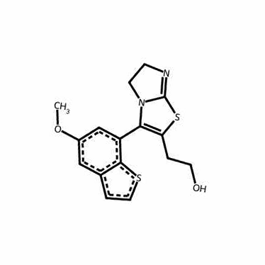 COc1cc(C2=C(CCO)SC3=NCCN32)c2sccc2c1